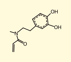 C=CC(=O)N(C)CCc1ccc(O)c(O)c1